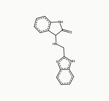 O=C1Nc2ccccc2C1NCc1nc2ccccc2[nH]1